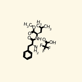 COC(=O)[C@@H](CC(C)C)NC(=O)[C@H](N)Cc1ccccc1.O=C(O)C(F)(F)F